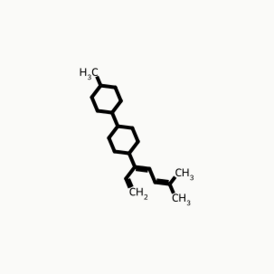 C=C/C(=C\C=C(C)C)C1CCC(C2CCC(C)CC2)CC1